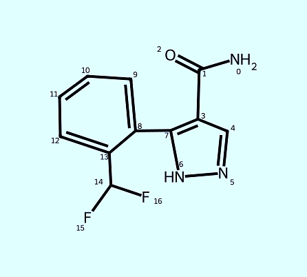 NC(=O)c1cn[nH]c1-c1ccccc1C(F)F